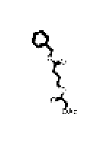 CC(=O)OCC(=O)OCCCC(=O)OCc1ccccc1